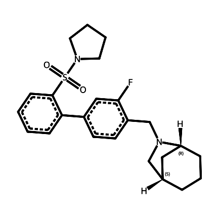 O=S(=O)(c1ccccc1-c1ccc(CN2C[C@H]3CCC[C@@H]2C3)c(F)c1)N1CCCC1